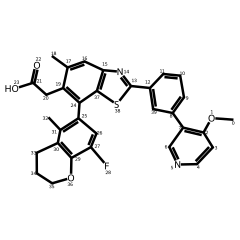 COc1ccncc1-c1cccc(-c2nc3cc(C)c(CC(=O)O)c(-c4cc(F)c5c(c4C)CCCO5)c3s2)c1